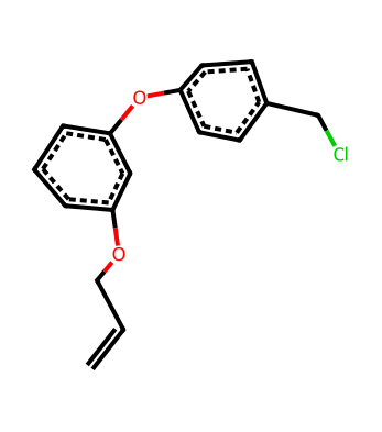 C=CCOc1cccc(Oc2ccc(CCl)cc2)c1